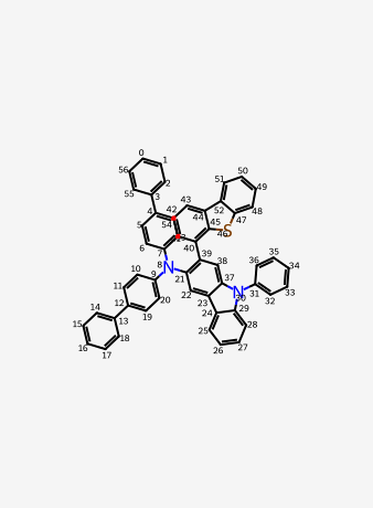 c1ccc(-c2ccc(N(c3ccc(-c4ccccc4)cc3)c3cc4c5ccccc5n(-c5ccccc5)c4cc3-c3cccc4c3sc3ccccc34)cc2)cc1